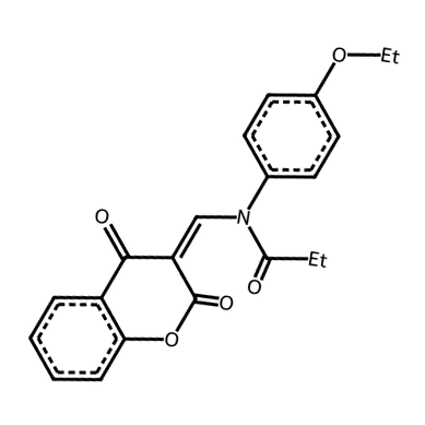 CCOc1ccc(N(C=C2C(=O)Oc3ccccc3C2=O)C(=O)CC)cc1